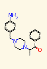 CC(C(=O)c1ccccc1)N1CCN(Cc2ccc(N)cc2)CC1